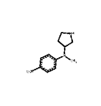 CN(c1ccc([N+](=O)[O-])cc1)C1CCNC1